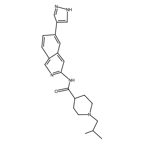 CC(C)CN1CCC(C(=O)Nc2cc3cc(-c4cn[nH]c4)ccc3cn2)CC1